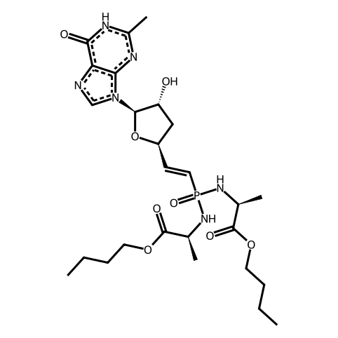 CCCCOC(=O)[C@H](C)NP(=O)(/C=C/[C@@H]1C[C@@H](O)[C@H](n2cnc3c(=O)[nH]c(C)nc32)O1)N[C@@H](C)C(=O)OCCCC